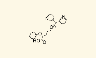 O=C(O)C(CCCON=C(c1cccnc1)c1cccnc1)Oc1ccccc1